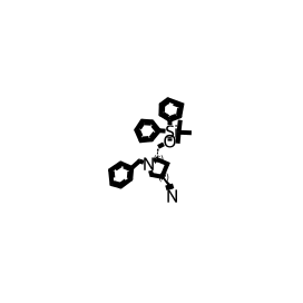 CC(C)(C)[Si](OC[C@@H]1C[C@@H](C#N)CN1Cc1ccccc1)(c1ccccc1)c1ccccc1